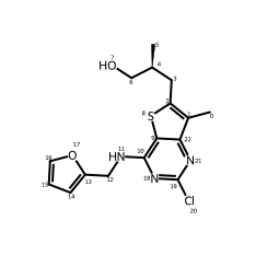 Cc1c(C[C@H](C)CO)sc2c(NCc3ccco3)nc(Cl)nc12